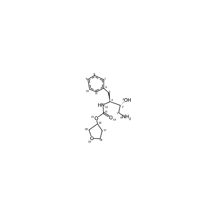 NC[C@@H](O)[C@H](Cc1ccccc1)NC(=O)OC1CCOC1